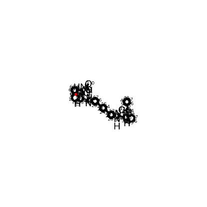 COC(=O)N[C@@H](C(=O)N1[C@@H]2CCCC[C@@H]2C[C@H]1c1nc2cc(-c3ccc(-c4ccc5[nH]c([C@@H]6C[C@H]7CCCC[C@H]7N6C(=O)[C@H](C)c6ccccc6)nc5c4)cc3)ccc2[nH]1)c1ccccc1